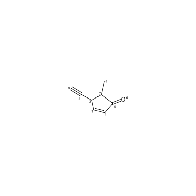 C#CC1C=CC(=O)C1C